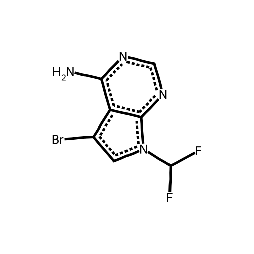 Nc1ncnc2c1c(Br)cn2C(F)F